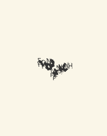 FC(F)(F)Oc1ccc(N2C[C@]3(c4nnc(C5(F)CCNCC5)o4)C[C@]3(C(F)(F)F)C2)c2cccnc12